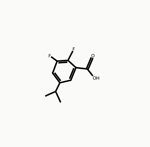 CC(C)c1cc(F)c(F)c(C(=O)O)c1